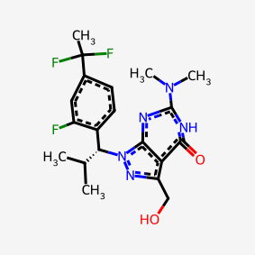 CC(C)[C@H](c1ccc(C(C)(F)F)cc1F)n1nc(CO)c2c(=O)[nH]c(N(C)C)nc21